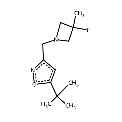 CC1(F)CN(Cc2cc(C(C)(C)C)on2)C1